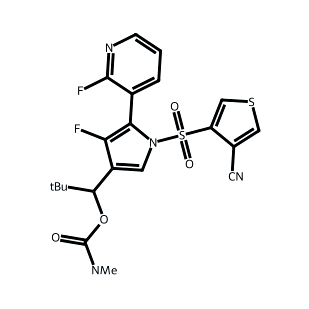 CNC(=O)OC(c1cn(S(=O)(=O)c2cscc2C#N)c(-c2cccnc2F)c1F)C(C)(C)C